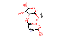 O=C(O)/C=C\C(=O)OC(C(=O)[O-])C(O)C(=O)O.[Na+]